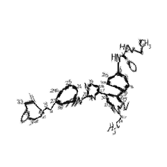 CCNC(=O)Nc1ccc(-c2nn(CC)cc2-c2ccnc(Nc3cccc(CCN4CCOCC4)c3)n2)cc1